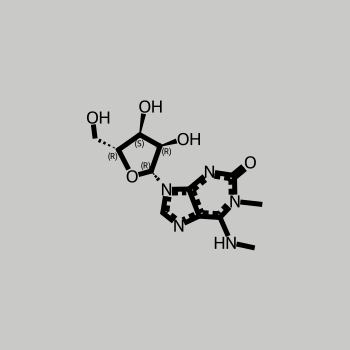 CNc1c2ncn([C@@H]3O[C@H](CO)[C@@H](O)[C@H]3O)c2nc(=O)n1C